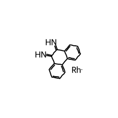 N=C1C(=N)c2ccccc2-c2ccccc21.[Rh]